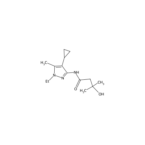 CCn1nc(NC(=O)CC(C)(C)O)c(C2CC2)c1C